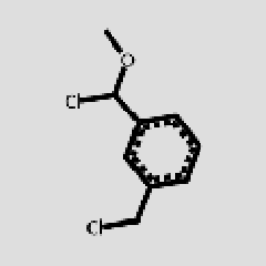 COC(Cl)c1cccc(CCl)c1